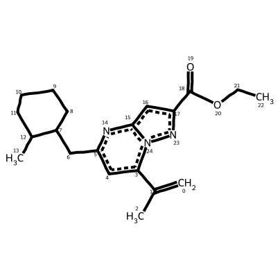 C=C(C)c1cc(CC2CCCCC2C)nc2cc(C(=O)OCC)nn12